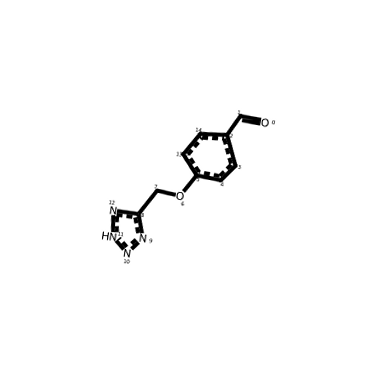 O=Cc1ccc(OCc2nn[nH]n2)cc1